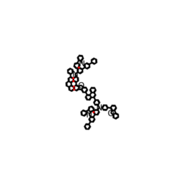 c1ccc(-c2ccc(-c3ccc(N(c4ccc(-c5cc6ccccc6c6c(-c7ccc8oc9c(-c%10ccc(N(c%11ccc(-c%12ccc(-c%13ccccc%13)cc%12-n%12c%13ccccc%13c%13ccccc%13%12)cc%11)c%11ccccc%11-c%11ccc%12c(ccc%13ccccc%13%12)c%11)cc%10)cccc9c8c7)cccc56)cc4)c4ccc(-c5cccc6c5oc5ccccc56)cc4)cc3)c(-n3c4ccccc4c4ccccc43)c2)cc1